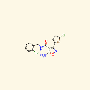 Nc1onc(-c2ccc(Cl)s2)c1C(=O)NCc1ccccc1Br